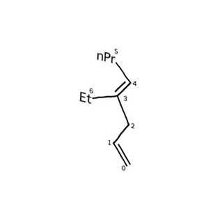 C=CC/C(=C/CCC)CC